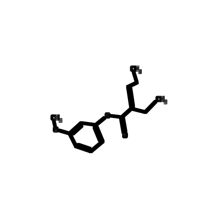 CCC=C(CC)C(=O)Oc1cccc(OC)c1